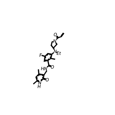 C=CC(=O)N1CCC(N(CC)c2cc(F)cc(C(=O)NCc3c(C)cc(C)[nH]c3=O)c2C)C1